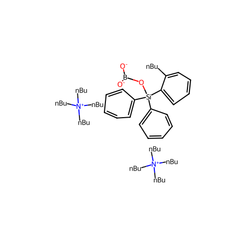 CCCC[N+](CCCC)(CCCC)CCCC.CCCC[N+](CCCC)(CCCC)CCCC.CCCCc1ccccc1[Si](OB([O-])[O-])(c1ccccc1)c1ccccc1